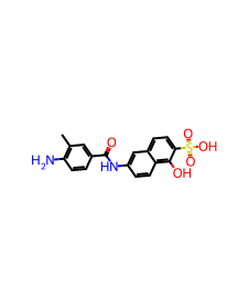 Cc1cc(C(=O)Nc2ccc3c(O)c(S(=O)(=O)O)ccc3c2)ccc1N